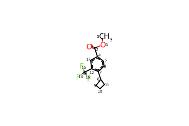 COC(=O)c1ccc(C2CCC2)c(C(F)(F)F)c1